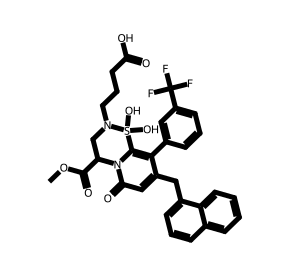 COC(=O)C1CN(CCCC(=O)O)S(O)(O)c2c(-c3cccc(C(F)(F)F)c3)c(Cc3cccc4ccccc34)cc(=O)n21